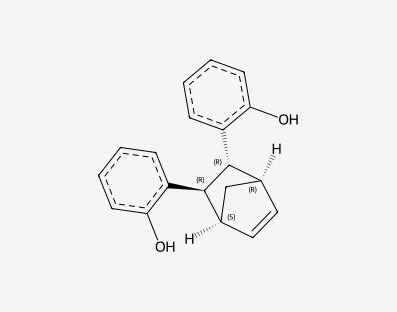 Oc1ccccc1[C@H]1[C@H](c2ccccc2O)[C@H]2C=C[C@@H]1C2